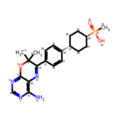 CC1(C)Oc2ncnc(N)c2N=C1c1ccc([C@H]2CC[C@H](P(C)(=O)O)CC2)cc1